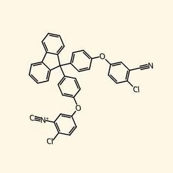 [C-]#[N+]c1cc(Oc2ccc(C3(c4ccc(Oc5ccc(Cl)c(C#N)c5)cc4)c4ccccc4-c4ccccc43)cc2)ccc1Cl